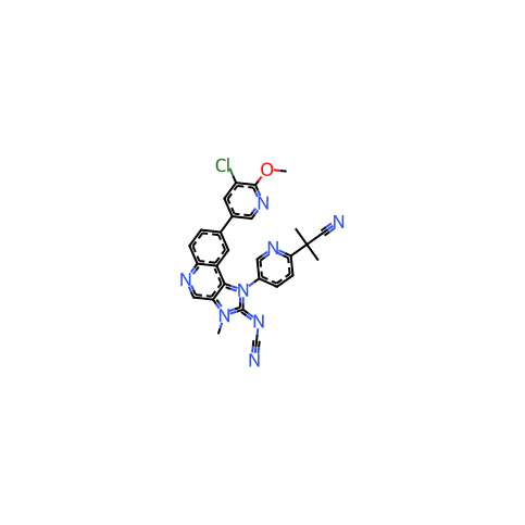 COc1ncc(-c2ccc3ncc4c(c3c2)n(-c2ccc(C(C)(C)C#N)nc2)c(=NC#N)n4C)cc1Cl